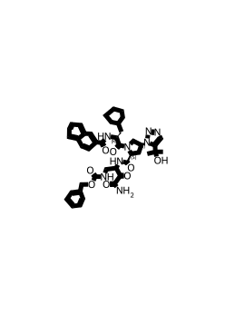 CC(C)(O)c1cnnn1[C@H]1C[C@@H](C(=O)NC(CNC(=O)OCc2ccccc2)C(=O)C(N)=O)N(C(=O)[C@@H](CC2CCCCC2)NC(=O)c2ccc3ccccc3c2)C1